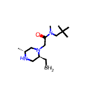 BC[C@H]1CN[C@H](C)CN1CC(=O)N(C)CC(C)(C)C